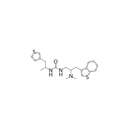 CC(Cc1ccsc1)NC(=O)NCC(Cc1csc2ccccc12)N(C)C